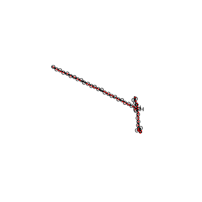 COCCOCCOCCOCCOCCOCCOCCOCCOCCOCCOCCOCCOCCOCCOCCOCCOCCOCCOCCOCCOCCOCCOCCOCCNC(=O)C(Cc1ccc(OCC(=O)OC(C)(C)C)cc1)NC(=O)CCOCCOCCOCCOCCN1C(=O)c2ccccc2C1=O